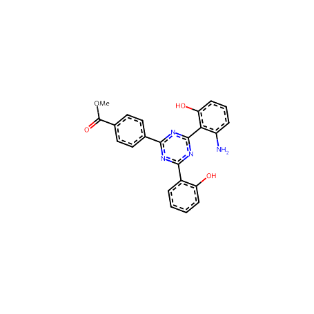 COC(=O)c1ccc(-c2nc(-c3ccccc3O)nc(-c3c(N)cccc3O)n2)cc1